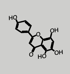 O=c1cc(-c2ccc(O)cc2)oc2c(O)cc(O)c(O)c12